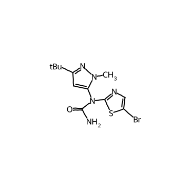 Cn1nc(C(C)(C)C)cc1N(C(N)=O)c1ncc(Br)s1